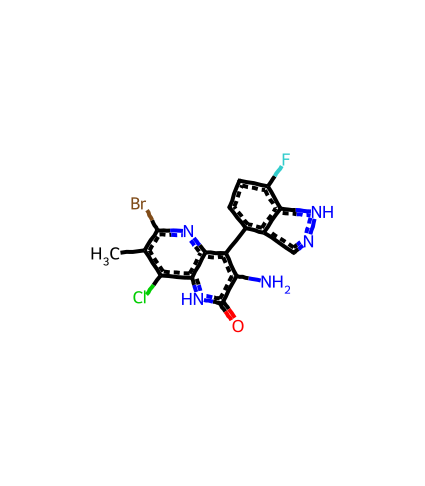 Cc1c(Br)nc2c(-c3ccc(F)c4[nH]ncc34)c(N)c(=O)[nH]c2c1Cl